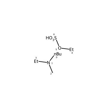 CCCCN(C)CC.CCOS(=O)(=O)O